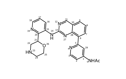 CC(=O)Nc1ccnc(-c2cccc3cnc(Nc4cccnc4C4CNCCO4)nc23)c1